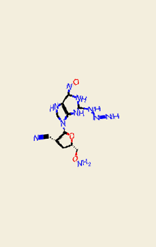 N#C[C@H]1C[C@@H](CON)O[C@H]1N1CNC2=C1NC(NN=N)NC2N=O